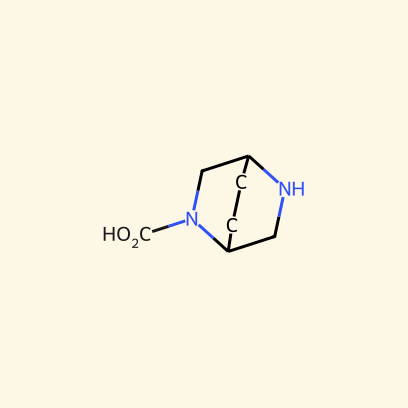 O=C(O)N1CC2CCC1CN2